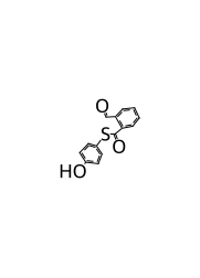 O=Cc1ccccc1C(=O)Sc1ccc(O)cc1